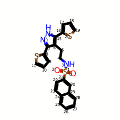 O=S(=O)(NCCc1c(-c2cccs2)n[nH]c1-c1cccs1)c1ccc2ccccc2c1